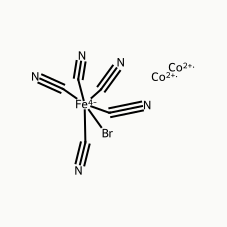 N#[C][Fe-4]([Br])([C]#N)([C]#N)([C]#N)[C]#N.[Co+2].[Co+2]